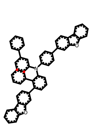 c1ccc(-c2cccc(N(c3ccc(-c4ccc5c(c4)oc4ccccc45)cc3)c3cccc(-c4ccc5c(c4)oc4ccccc45)c3-c3ccccc3)c2)cc1